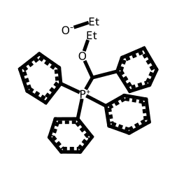 CCOC(c1ccccc1)[P+](c1ccccc1)(c1ccccc1)c1ccccc1.CC[O-]